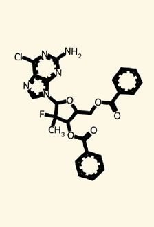 CC1(F)C(OC(=O)c2ccccc2)C(COC(=O)c2ccccc2)OC1n1cnc2c(Cl)nc(N)nc21